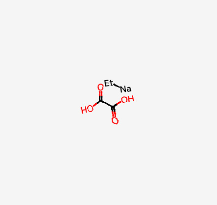 C[CH2][Na].O=C(O)C(=O)O